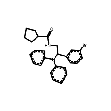 O=C(NCC(c1cccc(Br)c1)N(c1ccccc1)c1ccccc1)C1CCCC1